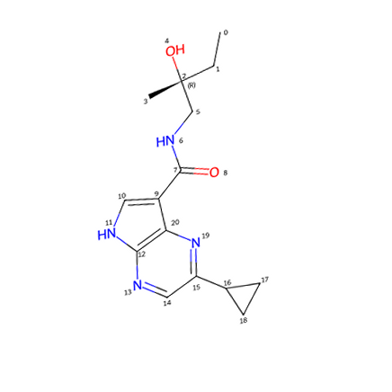 CC[C@@](C)(O)CNC(=O)c1c[nH]c2ncc(C3CC3)nc12